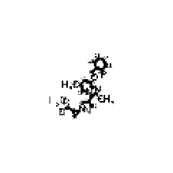 COC(=O)C1CC1n1cc(-c2c(C)nc3c(OCc4c(F)cccc4F)cc(C)cn23)cn1